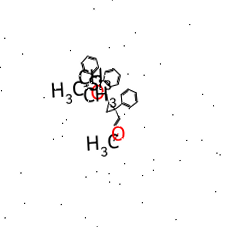 COC=C[C@@]1(c2ccccc2)C[C@H]1CO[Si](c1ccccc1)(c1ccccc1)C(C)(C)C